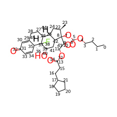 CCCCOC(=O)O[C@]1(C(=O)COC(=O)CCC2CCCC2)[C@H](C)C[C@H]2[C@@H]3CCC4=CC(=O)C=C[C@]4(C)[C@@]3(F)[C@@H](O)C[C@@]21C